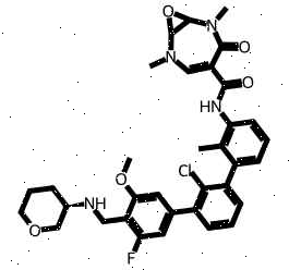 COc1cc(-c2cccc(-c3cccc(NC(=O)C4=CN(C)C5OC5N(C)C4=O)c3C)c2Cl)cc(F)c1CN[C@@H]1CCCOC1